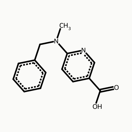 CN(Cc1ccccc1)c1ccc(C(=O)O)cn1